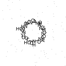 C/C=C1/NC(=O)[C@@H]2CSC(=N2)[C@@H]2CCCN2C(=O)[C@@H](CC(C)C)NC(=O)[C@H](C)NC(=O)[C@@H](O)COC(=O)[C@H](C(C)C)N(C)C(=O)[C@H]([C@@H](C)O)NC(=O)[C@@H]2CCCN2C1=O